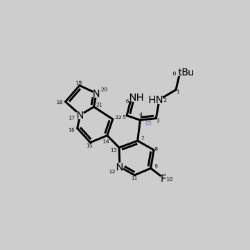 CC(C)(C)CN/C=C(\C=N)c1cc(F)cnc1-c1ccn2ccnc2c1